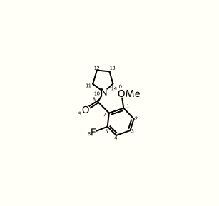 COc1cccc(F)c1C(=O)N1CCCC1